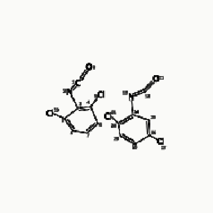 O=C=Nc1c(Cl)cccc1Cl.O=C=Nc1cc(Cl)ccc1Cl